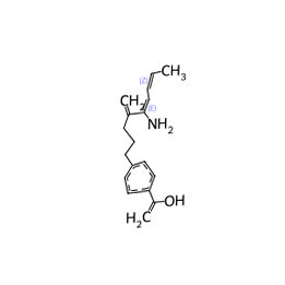 C=C(CCCc1ccc(C(=C)O)cc1)/C(N)=C\C=C/C